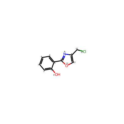 Oc1ccccc1-c1nc(CCl)co1